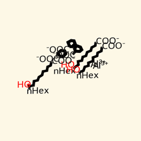 CCCCCCC(O)CCCCCCCCCCC(=O)[O-].CCCCCCC(O)CCCCCCCCCCC(=O)[O-].CCCCCCC(O)CCCCCCCCCCC(=O)[O-].O=C([O-])c1ccccc1.O=C([O-])c1ccccc1.O=C([O-])c1ccccc1.[Al+3].[Al+3]